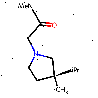 CNC(=O)CN1CC[C@](C)(C(C)C)C1